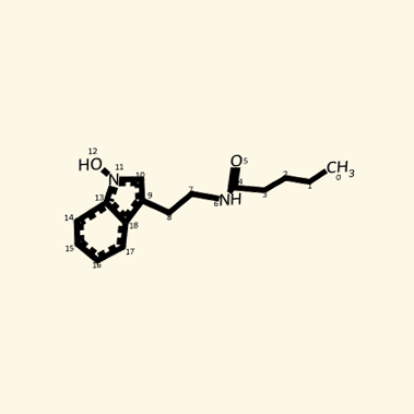 CCCCC(=O)NCCc1cn(O)c2ccccc12